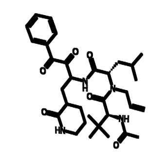 C=CCN(C(=O)[C@@H](NC(C)=O)C(C)(C)C)[C@@H](CC(C)C)C(=O)NC(CC1CCCNC1=O)C(=O)C(=O)c1ccccc1